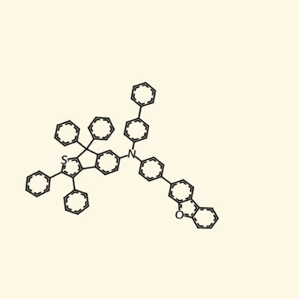 c1ccc(-c2ccc(N(c3ccc(-c4ccc5c(c4)oc4ccccc45)cc3)c3ccc4c(c3)C(c3ccccc3)(c3ccccc3)c3sc(-c5ccccc5)c(-c5ccccc5)c3-4)cc2)cc1